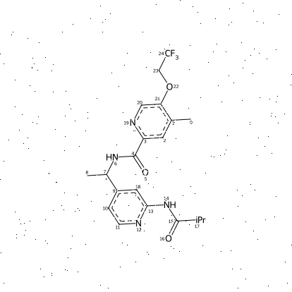 Cc1cc(C(=O)NC(C)c2ccnc(NC(=O)C(C)C)c2)ncc1OCC(F)(F)F